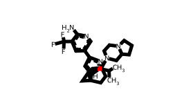 CC(C)n1nc(-c2cnc(N)c(C(F)(F)F)c2)cc1C12CCC(N3CCN4CCCC4C3)C[C@H]1C2